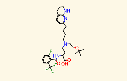 CC(C)(C)OCCN(CCCCc1ccc2c(n1)NCCC2)CCC(NC(=O)c1c(F)cccc1C(F)(F)F)C(=O)O